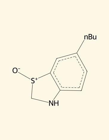 CCCCc1ccc2c(c1)[S+]([O-])CN2